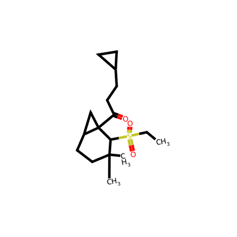 CCS(=O)(=O)C1C(C)(C)CCC2CC21C(=O)CCC1CC1